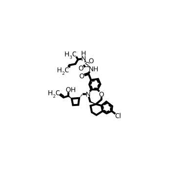 C=CCC(C)NS(=O)(=O)NC(=O)c1ccc2c(c1)N(C[C@@H]1CC[C@H]1C(O)C=C)C[C@@]1(CCCc3cc(Cl)ccc31)CO2